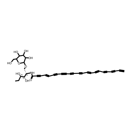 C#CC#CC#CC#CC#CC#CC#CC#CC#CC#CC#CC(=O)N[C@@H](COC1OC(CO)C(O)C(O)C1O)[C@H](O)[C@H](O)CC